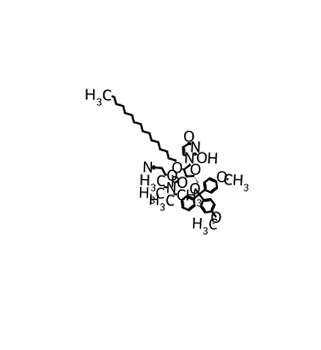 CCCCCCCCCCCCCCCCO[C@@H]1[C@H](OP(OCCC#N)N(C(C)C)C(C)C)[C@@H](COC(c2ccccc2)(c2ccc(OC)cc2)c2ccc(OC)cc2)O[C@H]1n1ccc(=O)nc1O